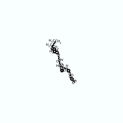 CC(C)CCC[C@@H](C)[C@H]1CC[C@H]2[C@@H]3CC=C4CC(OCCCNC(=O)CCC(=O)N[C@@H](Cc5ccccc5)C(=O)NCC(=O)Nc5ccc(COC(=O)Oc6ccc([N+](=O)[O-])cc6)cc5)CC[C@]4(C)[C@H]3CC[C@]12C